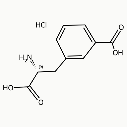 Cl.N[C@H](Cc1cccc(C(=O)O)c1)C(=O)O